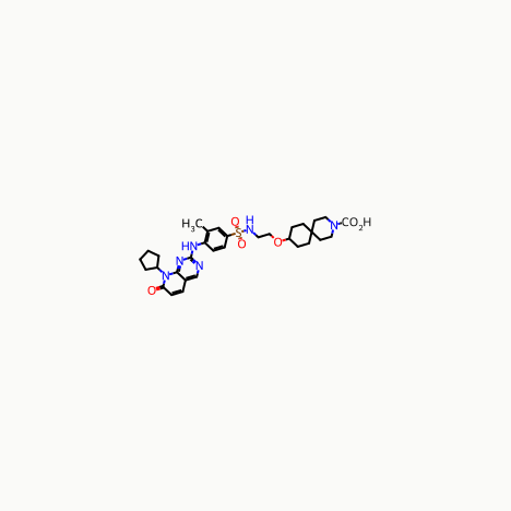 Cc1cc(S(=O)(=O)NCCOC2CCC3(CC2)CCN(C(=O)O)CC3)ccc1Nc1ncc2ccc(=O)n(C3CCCC3)c2n1